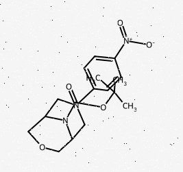 CC(C)(C)OC(=O)N1C2COCC1CN(c1ccc([N+](=O)[O-])cc1)C2